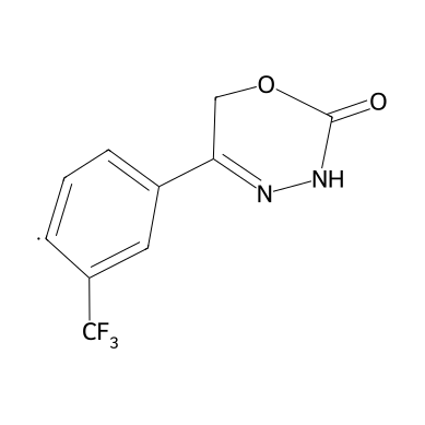 O=C1NN=C(c2cc[c]c(C(F)(F)F)c2)CO1